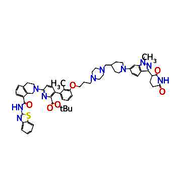 Cc1c(OCCCN2CCN(CC3CCN(c4ccc5c(C6CCC(=O)NC6=O)nn(C)c5c4)CC3)CC2)cccc1-c1ccc(N2CCc3cccc(C(=O)Nc4nc5ccccc5s4)c3C2)nc1C(=O)OC(C)(C)C